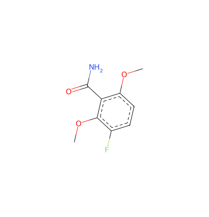 COc1ccc(F)c(OC)c1C(N)=O